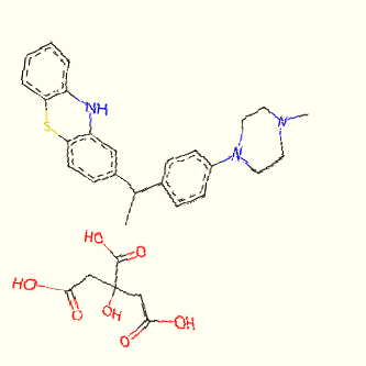 CC(c1ccc(N2CCN(C)CC2)cc1)c1ccc2c(c1)Nc1ccccc1S2.O=C(O)CC(O)(CC(=O)O)C(=O)O